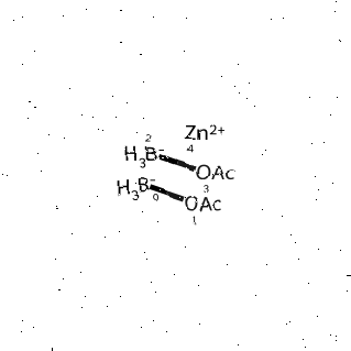 [BH3-]OC(C)=O.[BH3-]OC(C)=O.[Zn+2]